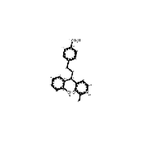 Cc1cc(C(CCc2ccc(C(=O)O)cc2)c2ccccc2C=O)ccn1